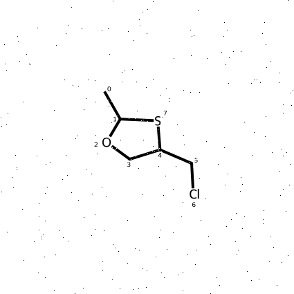 CC1OCC(CCl)S1